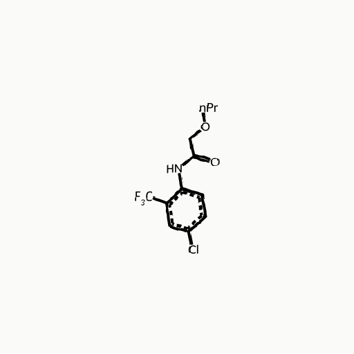 CCCOCC(=O)Nc1ccc(Cl)cc1C(F)(F)F